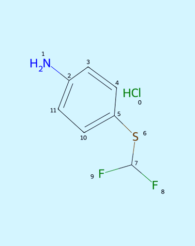 Cl.Nc1ccc(SC(F)F)cc1